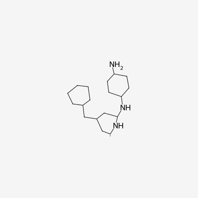 NC1CCC(NC2CC(CC3CCCCC3)C[CH]N2)CC1